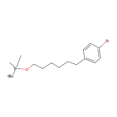 CC(C)(C)[Si](C)(C)OCCCCCCc1ccc(Br)cc1